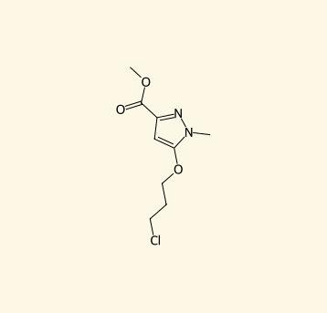 COC(=O)c1cc(OCCCCl)n(C)n1